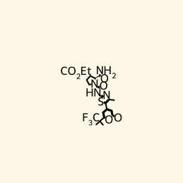 CCOC(=O)[C@@H]1CCN(C(=O)Nc2nc(C)c(-c3cc(C(C)(C)C(F)(F)F)oc(=O)c3)s2)[C@@H]1C(N)=O